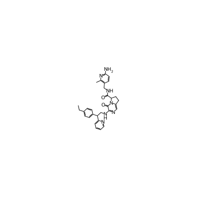 CCc1ccc(C(CNc2ncc3n(c2=O)C(C(=O)NCc2ccc(N)nc2C)CC3)c2ccccn2)cc1